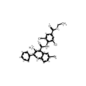 CCOC(=O)c1cc(Cl)c(NC(=O)c2c(C)c(-c3ccccc3)nc3ccc(Br)cc23)c(Cl)c1